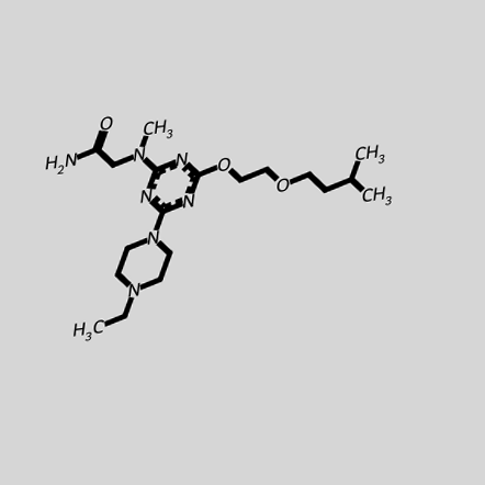 CCN1CCN(c2nc(OCCOCCC(C)C)nc(N(C)CC(N)=O)n2)CC1